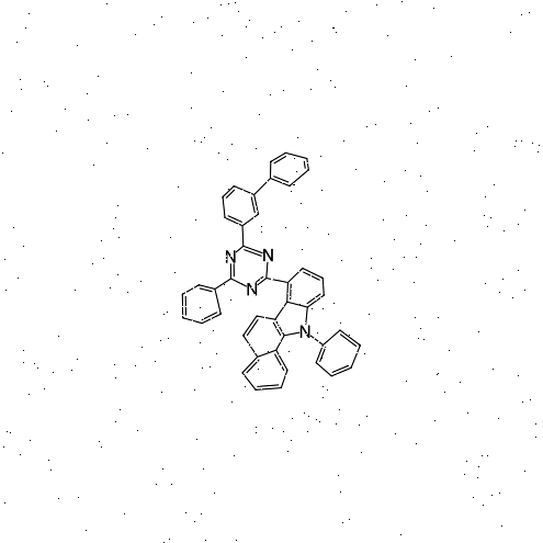 c1ccc(-c2cccc(-c3nc(-c4ccccc4)nc(-c4cccc5c4c4ccc6ccccc6c4n5-c4ccccc4)n3)c2)cc1